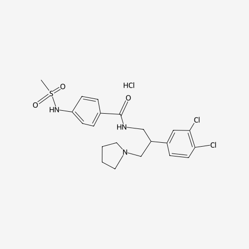 CS(=O)(=O)Nc1ccc(C(=O)NCC(CN2CCCC2)c2ccc(Cl)c(Cl)c2)cc1.Cl